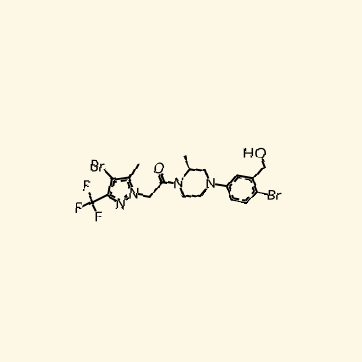 Cc1c(Br)c(C(F)(F)F)nn1CC(=O)N1CCN(c2ccc(Br)c(CO)c2)C[C@@H]1C